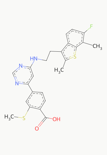 CSc1cc(-c2cc(NCCc3c(C)sc4c(C)c(F)ccc34)ncn2)ccc1C(=O)O